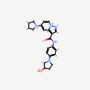 O=C(Nc1ccc(N2CCC(O)C2)cc1)c1cnn2ccc(N3CCCC3)cc12